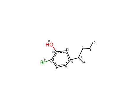 CCCC(C)c1ccc(Br)c(O)c1